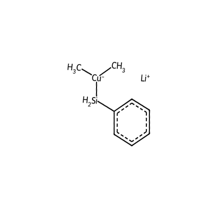 [CH3][Cu-]([CH3])[SiH2]c1ccccc1.[Li+]